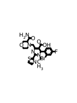 CCN1C(c2nccs2)=NC(CN2CCOCC2C(N)=O)=C(C(=O)O)C1c1ccc(F)cc1Br